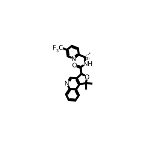 C[C@H](NC(=O)C1OC(C)(C)c2c1cnc1ccccc21)c1ccc(C(F)(F)F)cn1